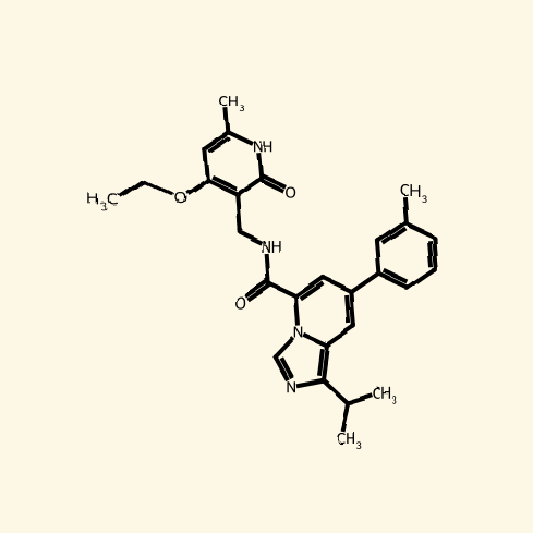 CCOc1cc(C)[nH]c(=O)c1CNC(=O)c1cc(-c2cccc(C)c2)cc2c(C(C)C)ncn12